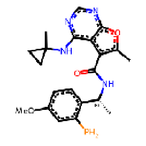 COc1ccc([C@@H](C)NC(=O)c2c(C)oc3ncnc(NC4(C)CC4)c23)c(P)c1